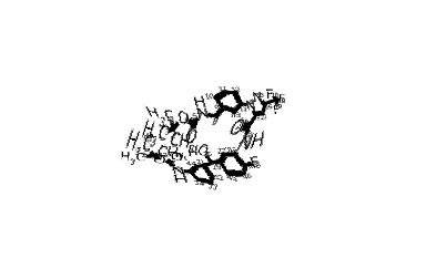 CC(C)(C)OC(=O)NCc1cccc(-n2nc(C(F)(F)F)cc2C(=O)Nc2cc(C(O)c3cccc(NC(=O)OC(C)(C)C)c3)ccc2F)c1